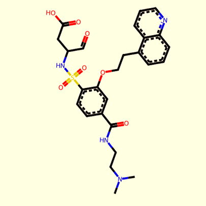 CN(C)CCNC(=O)c1ccc(S(=O)(=O)NC(C=O)CC(=O)O)c(OCCc2cccc3ncccc23)c1